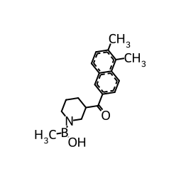 CB(O)N1CCCC(C(=O)c2ccc3c(C)c(C)ccc3c2)C1